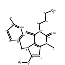 C=C1c2c(nc(OC(C)C)n2Cc2ccc(C)nc2)N(C)C(=O)N1CCCO